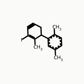 CC1=C(I)C#CCC1c1cc(C)ccc1C